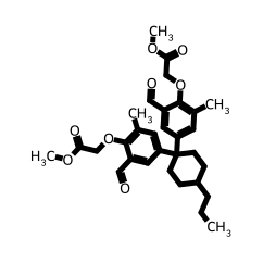 CCCC1CCC(c2cc(C)c(OCC(=O)OC)c(C=O)c2)(c2cc(C)c(OCC(=O)OC)c(C=O)c2)CC1